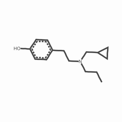 CCCN(CCc1ccc(O)cc1)CC1CC1